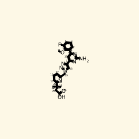 COc1c(F)cccc1-c1cc(-c2cn(Cc3cccc(C(C)(C)CC(=O)O)n3)nn2)nc(N)n1